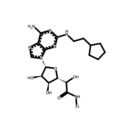 CCNC(=O)C(O)[C@H]1O[C@@H](n2cnc3c(N)nc(NCCC4CCCC4)nc32)[C@H](O)[C@@H]1O